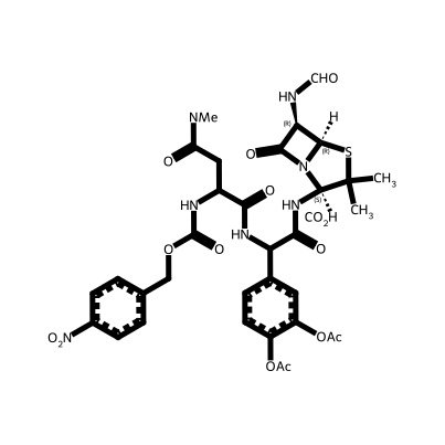 CNC(=O)CC(NC(=O)OCc1ccc([N+](=O)[O-])cc1)C(=O)NC(C(=O)N[C@@]1(C(=O)O)N2C(=O)[C@@H](NC=O)[C@H]2SC1(C)C)c1ccc(OC(C)=O)c(OC(C)=O)c1